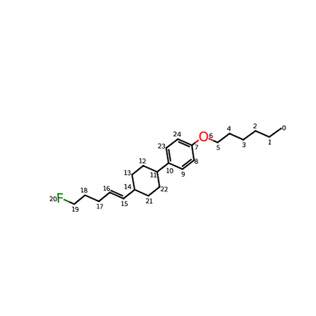 CCCCCCOc1ccc(C2CCC(/C=C/CCCF)CC2)cc1